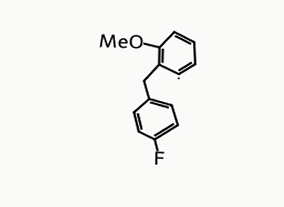 COc1ccc[c]c1Cc1ccc(F)cc1